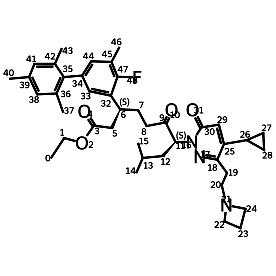 CCOC(=O)C[C@H](CCC(=O)[C@H](CC(C)C)n1nc(CCN2CCC2)c(C2CC2)cc1=O)c1cc(-c2c(C)cc(C)cc2C)cc(C)c1F